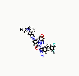 CN(C)C1CC2CN(c3ccc(C(=O)Nc4n[nH]c5ccc(Cc6cc(F)cc(F)c6)cc45)c(NC4CCOCC4)c3)CC2C1